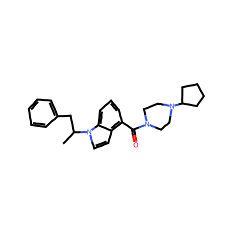 CC(Cc1ccccc1)n1ccc2c(C(=O)N3CCN(C4CCCC4)CC3)cccc21